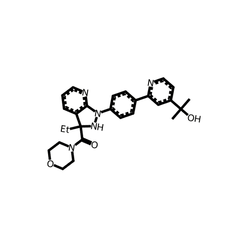 CCC1(C(=O)N2CCOCC2)NN(c2ccc(-c3cc(C(C)(C)O)ccn3)cc2)c2ncccc21